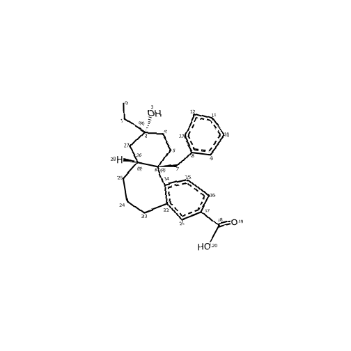 CC[C@@]1(O)CC[C@]2(Cc3ccccc3)c3ccc(C(=O)O)cc3CCC[C@@H]2C1